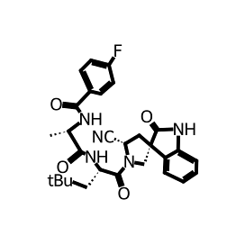 C[C@H](NC(=O)c1ccc(F)cc1)C(=O)N[C@@H](CC(C)(C)C)C(=O)N1C[C@]2(C[C@H]1C#N)C(=O)Nc1ccccc12